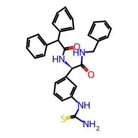 NC(=S)Nc1cccc([C@@H](NC(=O)C(c2ccccc2)c2ccccc2)C(=O)NCc2ccccc2)c1